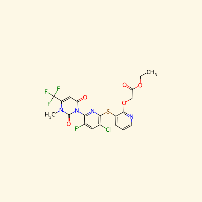 CCOC(=O)COc1ncccc1Sc1nc(-n2c(=O)cc(C(F)(F)F)n(C)c2=O)c(F)cc1Cl